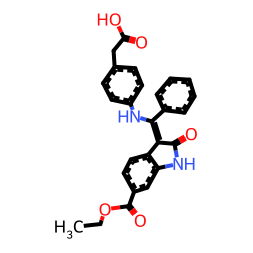 CCOC(=O)c1ccc2c(c1)NC(=O)C2=C(Nc1ccc(CC(=O)O)cc1)c1ccccc1